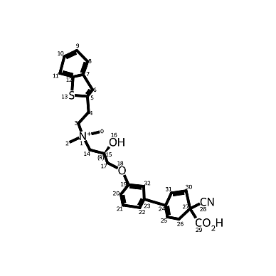 C[N+](C)(CCc1cc2ccccc2s1)C[C@@H](O)COc1cccc(C2=CCC(C#N)(C(=O)O)C=C2)c1